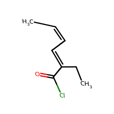 C/C=C\C=C(/CC)C(=O)Cl